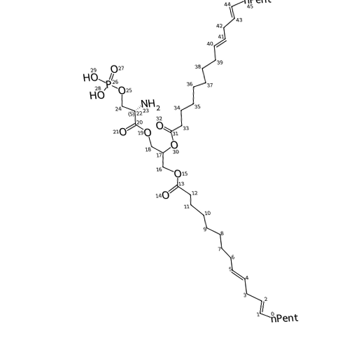 CCCCCC=CCC=CCCCCCCCC(=O)OCC(COC(=O)[C@@H](N)COP(=O)(O)O)OC(=O)CCCCCCCC=CCC=CCCCCC